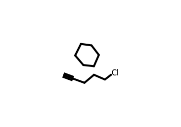 C#CCCCCl.C1CCCCC1